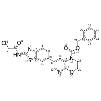 O=C(CCl)Nc1nc2ccc(-c3cnc4c(c3)N(C(=O)OCc3ccccc3)CCO4)cc2s1